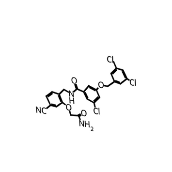 N#Cc1ccc(CNC(=O)c2cc(Cl)cc(OCc3cc(Cl)cc(Cl)c3)c2)c(OCC(N)=O)c1